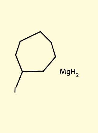 IC1CCCCCC1.[MgH2]